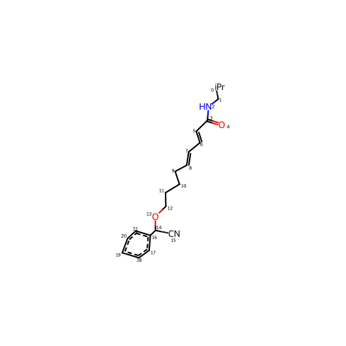 CC(C)CNC(=O)/C=C/C=C/CCCCOC(C#N)c1ccccc1